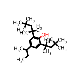 CCC(C)c1cc(C(C)(C)CC(C)(C)C)c(O)c(C(C)(C)CC(C)(C)C)c1